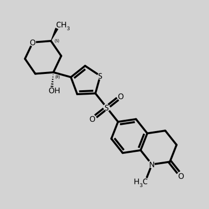 C[C@H]1C[C@@](O)(c2csc(S(=O)(=O)c3ccc4c(c3)CCC(=O)N4C)c2)CCO1